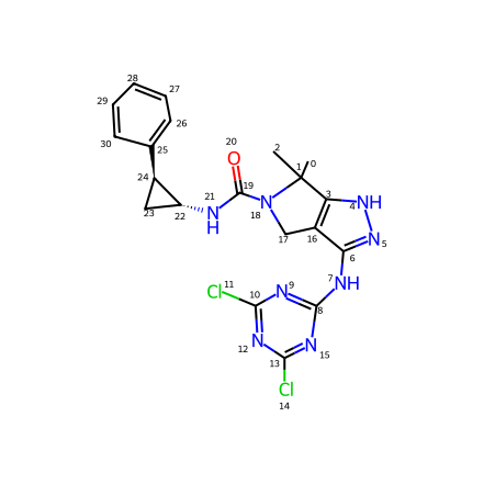 CC1(C)c2[nH]nc(Nc3nc(Cl)nc(Cl)n3)c2CN1C(=O)N[C@@H]1C[C@H]1c1ccccc1